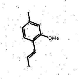 [CH2]C=Cc1ccc(C)cc1OC